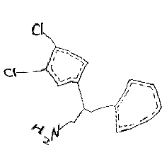 NCC(c1ccccc1)c1ccc(Cl)c(Cl)c1